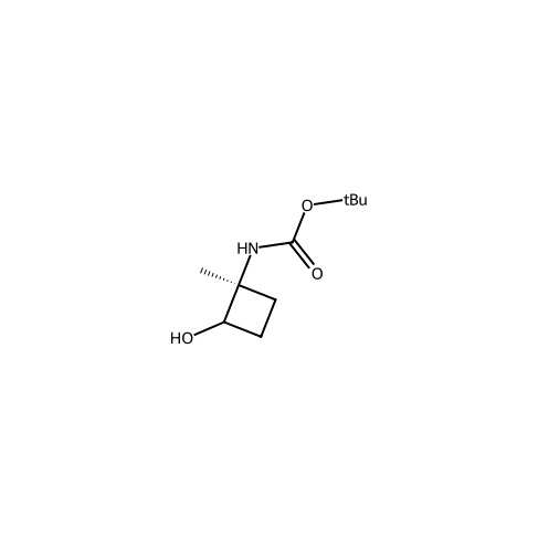 CC(C)(C)OC(=O)N[C@@]1(C)CCC1O